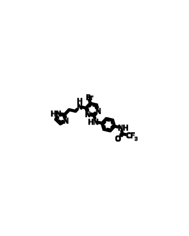 O=C(Nc1ccc(Nc2ncc(Br)c(NCCc3ncc[nH]3)n2)cc1)C(F)(F)F